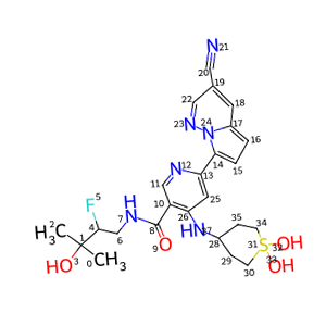 CC(C)(O)C(F)CNC(=O)c1cnc(-c2ccc3cc(C#N)cnn23)cc1NC1CCS(O)(O)CC1